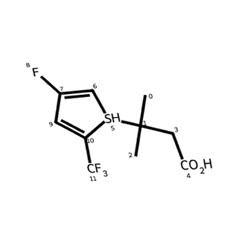 CC(C)(CC(=O)O)[SH]1C=C(F)C=C1C(F)(F)F